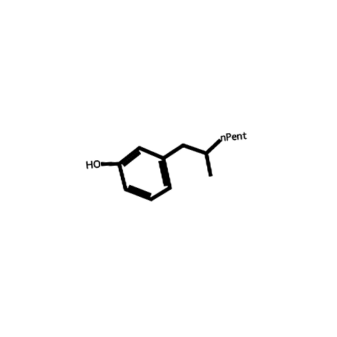 CCCCCC(C)Cc1cccc(O)c1